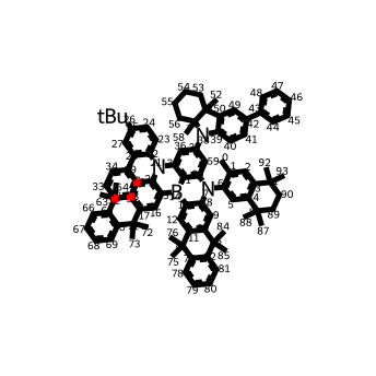 Cc1cc2c(cc1N1c3cc4c(cc3B3c5cc6c(cc5N(c5ccc(C(C)(C)C)cc5-c5ccccc5)c5cc(N7c8ccc(-c9ccccc9)cc8C8(C)CCCCC78C)cc1c53)C(C)(C)c1ccccc1C6(C)C)C(C)(C)c1ccccc1C4(C)C)C(C)(C)CCC2(C)C